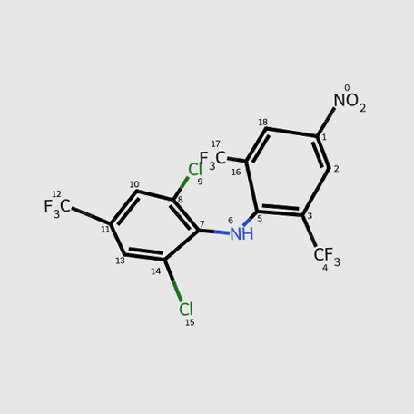 O=[N+]([O-])c1cc(C(F)(F)F)c(Nc2c(Cl)cc(C(F)(F)F)cc2Cl)c(C(F)(F)F)c1